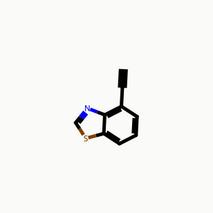 C#Cc1cccc2scnc12